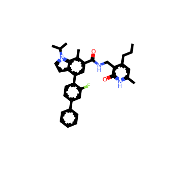 CCCc1cc(C)[nH]c(=O)c1CNC(=O)c1cc(-c2ccc(-c3ccccc3)cc2F)c2ccn(C(C)C)c2c1C